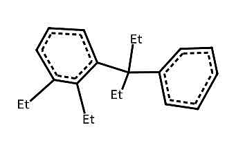 CCc1cccc(C(CC)(CC)c2ccccc2)c1CC